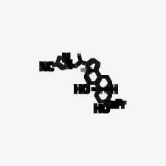 CCC[C@@]1(O)CC[C@]2(C)C3=C(CC[C@@H]2C1)C1=CC=C(C(C)Cn2cc(C#N)cn2)[C@]1(C)C=C3O